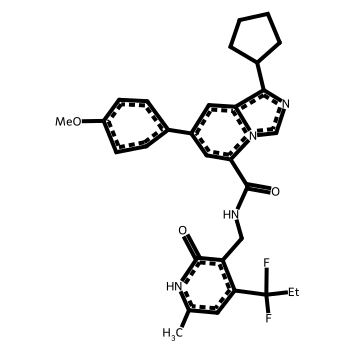 CCC(F)(F)c1cc(C)[nH]c(=O)c1CNC(=O)c1cc(-c2ccc(OC)cc2)cc2c(C3CCCC3)ncn12